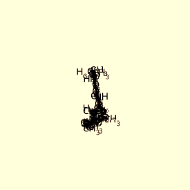 COc1cc2c(cc1-c1cccc(/C(C)=N/OCCNC(=O)COCCOCCNC(=O)OC(C)(C)C)c1)-c1c(c(C(=O)N3CCOCC3(C)C)nn1-c1cc(Cl)cc(Cl)c1)CO2